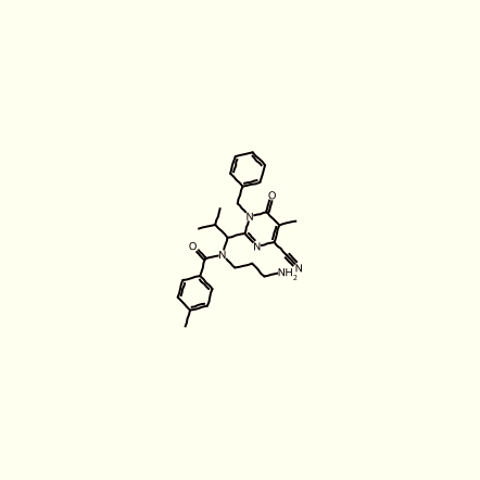 Cc1ccc(C(=O)N(CCCN)C(c2nc(C#N)c(C)c(=O)n2Cc2ccccc2)C(C)C)cc1